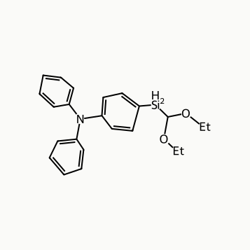 CCOC(OCC)[SiH2]c1ccc(N(c2ccccc2)c2ccccc2)cc1